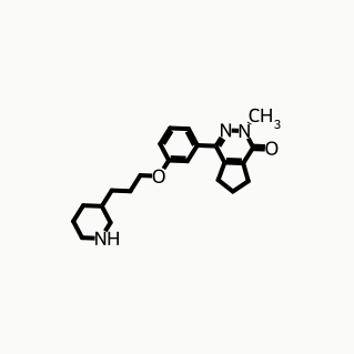 Cn1nc(-c2cccc(OCCCC3CCCNC3)c2)c2c(c1=O)CCC2